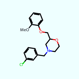 COc1ccccc1OCC1CN(Cc2cccc(Cl)c2)CCO1